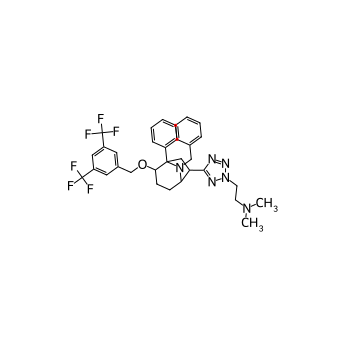 CN(C)CCn1nnc(C2CC3(c4ccccc4)C(OCc4cc(C(F)(F)F)cc(C(F)(F)F)c4)CCC2N3Cc2ccccc2)n1